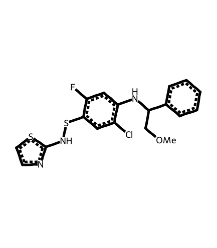 COCC(Nc1cc(F)c(SNc2nccs2)cc1Cl)c1ccccc1